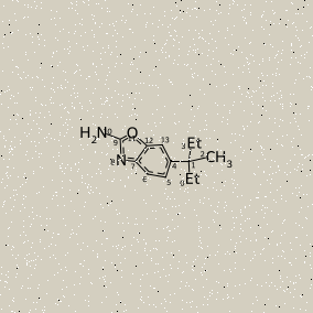 CCC(C)(CC)c1ccc2nc(N)oc2c1